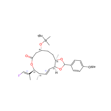 COc1ccc(C2O[C@H]3/C=C/[C@H](C)[C@@H](/C(C)=C/I)OC(=O)C[C@H](O[Si](C)(C)C(C)(C)C)CC[C@@]3(C)O2)cc1